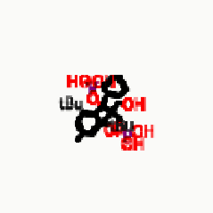 Cc1cc(C(C)(C)C)c(C(OP(O)O)(c2ccccc2)C(CO)(CO)COP(O)O)c(C(C)(C)C)c1